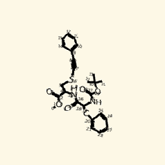 COC(=O)C(CSC#Cc1ccccc1)NC(=O)C(Cc1ccccc1)NC(=O)OC(C)(C)C